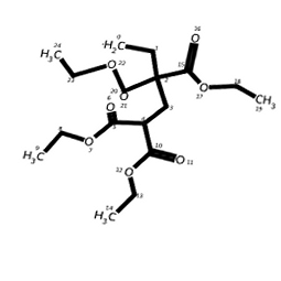 [CH2]CC(CC(C(=O)OCC)C(=O)OCC)(C(=O)OCC)C(=O)OCC